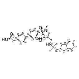 CN(C[C@H](O)CNC(C)(C)CC1Cc2ccccc2C1)S(=O)(=O)c1ccc(-c2ccc(CC(=O)O)cc2)cc1Cl